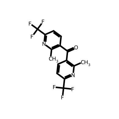 Cc1nc(C(F)(F)F)ccc1C(=O)c1ccc(C(F)(F)F)nc1C